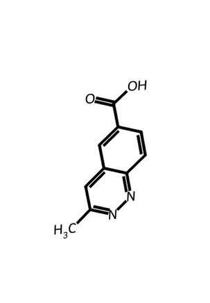 Cc1cc2cc(C(=O)O)ccc2nn1